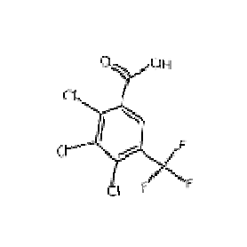 O=C(O)c1cc(C(F)(F)F)c(Cl)c(Cl)c1Cl